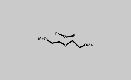 COCCOCCOC.C[CH2][Zn][CH2]C